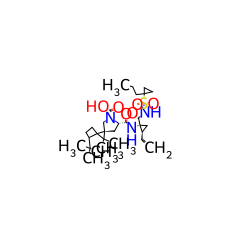 C=C[C@@H]1C[C@]1(NC(=O)[C@@H]1C[C@@]2(CN1C(=O)O)C(C)(C)C21CCC1C(C)(C)C)C(=O)NS(=O)(=O)C1(CCC)CC1